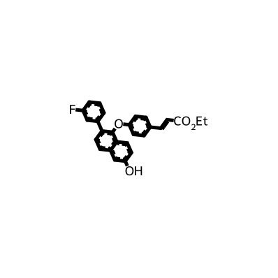 CCOC(=O)C=Cc1ccc(Oc2c(-c3cccc(F)c3)ccc3cc(O)ccc23)cc1